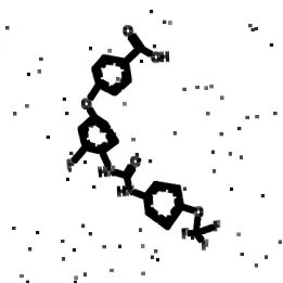 O=C(Nc1ccc(OC(F)(F)F)cc1)Nc1ccc(Oc2ccc(C(=O)O)cc2)cc1F